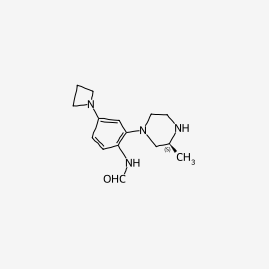 C[C@H]1CN(c2cc(N3CCC3)ccc2NC=O)CCN1